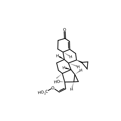 C[C@]12CC[C@H]3[C@H]([C@@H]1[C@H]1C[C@H]1[C@@]2(O)/C=C\OC(=O)O)[C@H](C1CC1)CC1=CC(=O)CC[C@@H]13